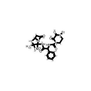 CCN1CCN(C(=O)NC(C(=O)NC2(C(=O)O)N3C(=O)CC3SC2(C)C)c2ccccc2)C(=O)C1=O